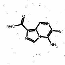 COC(=O)c1ncn2c(N)c(Br)ncc12